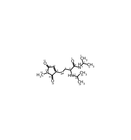 CC(C)NC(=O)C(CSC1=CC(=O)N(C)C1=O)NC(C)C